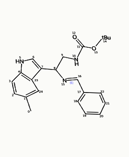 Cc1ccc2[nH]cc(C(CNC(=O)OC(C)(C)C)/N=C/c3ccccc3)c2c1